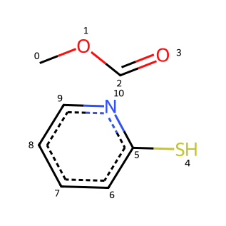 COC=O.Sc1ccccn1